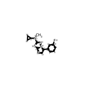 CN(c1nn2c(-c3cccc(F)c3)cnc2s1)C1CC1